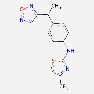 CC(c1ccc(Nc2nc(C(F)(F)F)cs2)cc1)c1cnon1